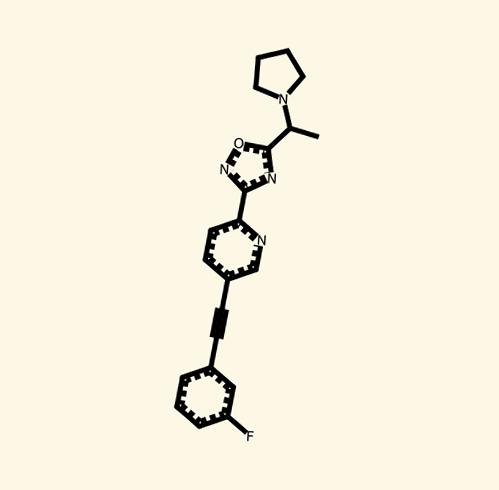 CC(c1nc(-c2ccc(C#Cc3cccc(F)c3)cn2)no1)N1CCCC1